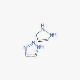 C1=CNNC1.c1c[nH]nn1